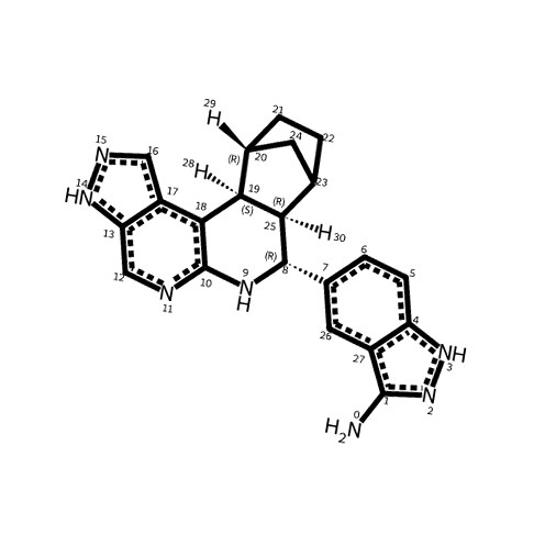 Nc1n[nH]c2ccc([C@@H]3Nc4ncc5[nH]ncc5c4[C@H]4[C@@H]5CCC(C5)[C@H]43)cc12